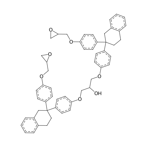 OC(COc1ccc(C2(c3ccc(OCC4CO4)cc3)CCc3ccccc3C2)cc1)COc1ccc(C2(c3ccc(OCC4CO4)cc3)CCc3ccccc3C2)cc1